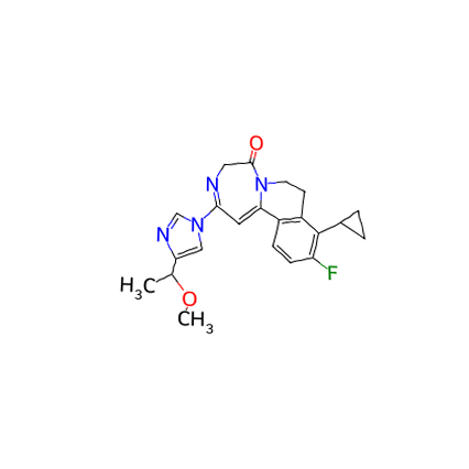 COC(C)c1cn(C2=NCC(=O)N3CCc4c(ccc(F)c4C4CC4)C3=C2)cn1